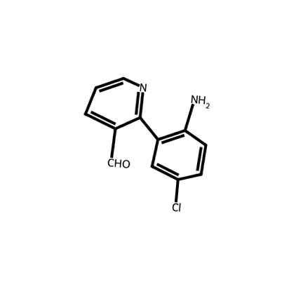 Nc1ccc(Cl)cc1-c1ncccc1C=O